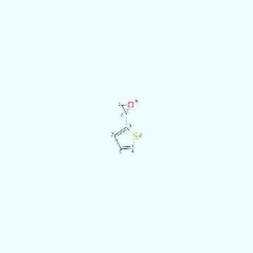 c1csc([C@@H]2CO2)c1